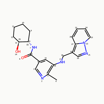 Cc1ncc(C(=O)N[C@H]2CCCC[C@@H]2O)cc1NCc1cnn2ccccc12